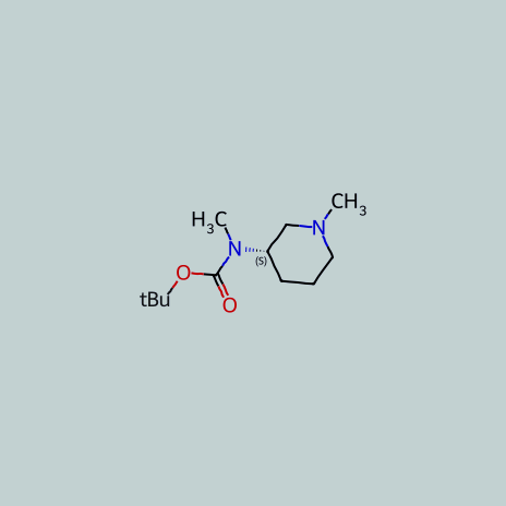 CN1CCC[C@H](N(C)C(=O)OC(C)(C)C)C1